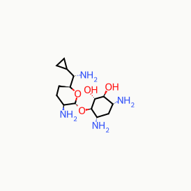 N[C@@H]1C[C@H](N)[C@@H](O[C@H]2O[C@H]([C@@H](N)C3CC3)CC[C@@H]2N)[C@H](O)[C@H]1O